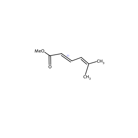 COC(=O)/C=C/C=C(C)C